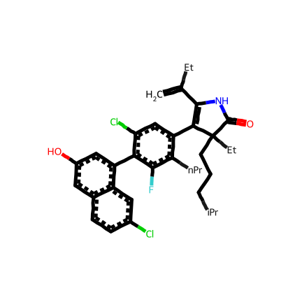 C=C(CC)C1=C(c2cc(Cl)c(-c3cc(O)cc4ccc(Cl)cc34)c(F)c2CCC)C(CC)(CCCC(C)C)C(=O)N1